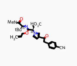 C=CCOC(=N[C@H](C(=O)NC)C(C)(C)C)[C@@H](CC(=O)O)n1ccc(C(=O)Cc2ccc(C#N)cc2)c1